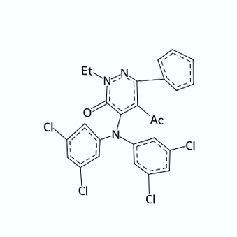 CCn1nc(-c2ccccc2)c(C(C)=O)c(N(c2cc(Cl)cc(Cl)c2)c2cc(Cl)cc(Cl)c2)c1=O